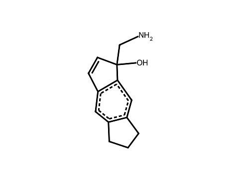 NCC1(O)C=Cc2cc3c(cc21)CCC3